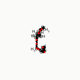 Cc1ncsc1-c1ccc([C@H](C)NC(=O)[C@H]2C[C@H](O)CN2C(=O)[C@@H](NC(=O)CCCCCCCCCCN(C)CCCONC(=O)c2ccc(F)c(F)c2Nc2ccc(I)cc2F)C(C)(C)C)cc1